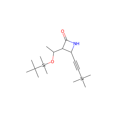 CC(O[Si](C)(C)C(C)(C)C)C1C(=O)NC1C#C[Si](C)(C)C